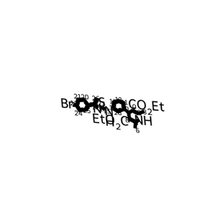 CCOC(=O)C1=C(C)NC(C)=C(C(=O)OCC)C1c1cccc(Nc2nc(-c3ccc(Br)cc3)cs2)c1